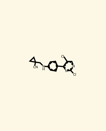 N#CC1(CNc2ccc(-c3nc(Cl)ncc3Cl)cc2)CC1